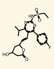 CCS(=O)(=O)Nc1nc(-c2ccc(F)cc2)c(C=CC2CC(O)CC(=O)O2)c(C(C)C)n1